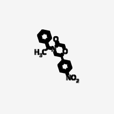 C[C@H](c1ccccc1)N1C[C@H](c2ccc([N+](=O)[O-])cc2)OCC1=O